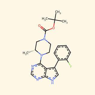 C[C@@H]1CN(C(=O)OC(C)(C)C)CCN1c1ncnc2[nH]cc(-c3ccccc3F)c12